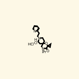 CC(C)N1CC2(CCN(CCc3ccccn3)CC2)OC2(CC2)C1=O.Cl.Cl